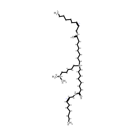 CCCCCC/C=C\CSC(=O)CCCCCCCN(CCCCCCCC(=O)SC/C=C\CCCCCC)CCCCCN(C)C